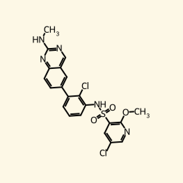 CNc1ncc2cc(-c3cccc(NS(=O)(=O)c4cc(Cl)cnc4OC)c3Cl)ccc2n1